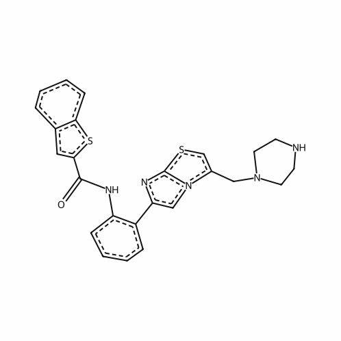 O=C(Nc1ccccc1-c1cn2c(CN3CCNCC3)csc2n1)c1cc2ccccc2s1